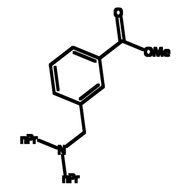 CCCN(CCC)Cc1cccc(C(=O)OC)c1